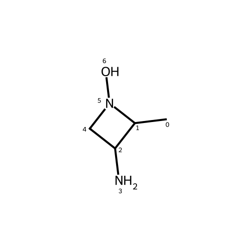 CC1C(N)CN1O